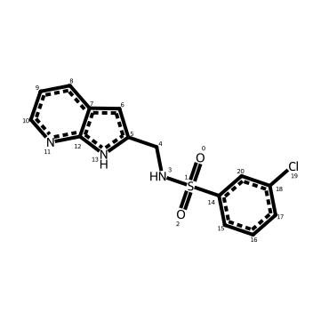 O=S(=O)(NCc1cc2cccnc2[nH]1)c1cccc(Cl)c1